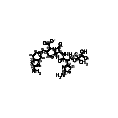 CC(C)(ON=C(C(=O)NC1C(=O)N2C(C(=O)[O-])=C(C[n+]3ccc4sc(N)nc4c3)CS[C@@H]12)c1csc(N)n1)C(=O)O